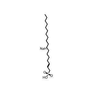 CCCCCCCCCCCCCCCC=CCS(=O)(=O)O.[NaH]